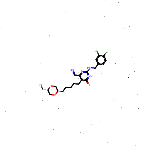 N=Cc1nc(NCc2ccc(Cl)c(Cl)c2)[nH]c(=O)c1CCCCC[C@@H]1CO[C@@H](CO)CO1